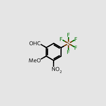 COc1c(C=O)cc(S(F)(F)(F)(F)F)cc1[N+](=O)[O-]